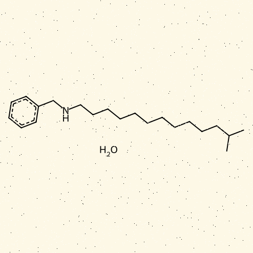 CC(C)CCCCCCCCCCCNCc1ccccc1.O